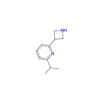 CC(C)c1cccc(C2CNC2)n1